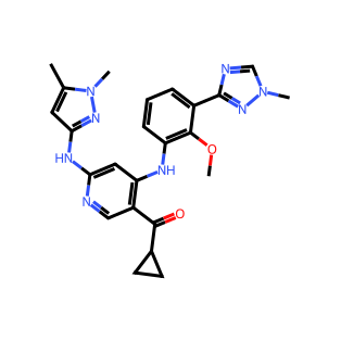 COc1c(Nc2cc(Nc3cc(C)n(C)n3)ncc2C(=O)C2CC2)cccc1-c1ncn(C)n1